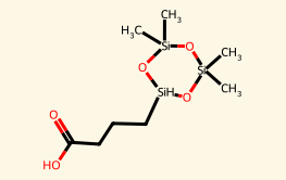 C[Si]1(C)O[SiH](CCCC(=O)O)O[Si](C)(C)O1